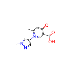 Cc1cc(=O)c(C(=O)O)cn1-c1cnn(C)c1